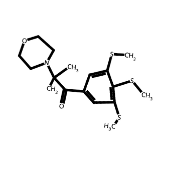 CSc1cc(C(=O)C(C)(C)N2CCOCC2)cc(SC)c1SC